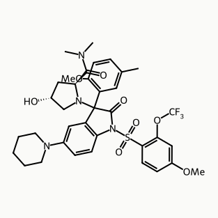 COc1ccc(S(=O)(=O)N2C(=O)C(c3cc(C)ccc3OC)(N3C[C@H](O)C[C@H]3C(=O)N(C)C)c3cc(N4CCCCC4)ccc32)c(OC(F)(F)F)c1